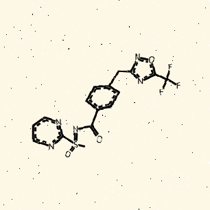 CS(=O)(=NC(=O)c1ccc(Cc2noc(C(F)(F)F)n2)cc1)c1ncccn1